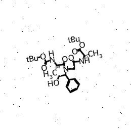 C[C@H](NC(=O)CN(C(=O)[C@H](C)NC(=O)OC(C)(C)C)C(CO)c1ccccc1)C(=O)OC(C)(C)C